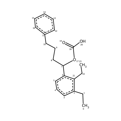 CCc1cccc(C(CCCc2ccccc2)OC(=O)O)c1CC